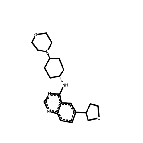 c1nc(N[C@H]2CC[C@H](N3CCOCC3)CC2)c2cc(C3CCOC3)ccc2n1